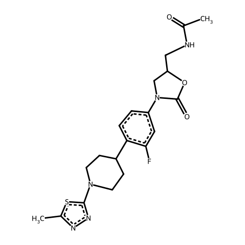 CC(=O)NCC1CN(c2ccc(C3CCN(c4nnc(C)s4)CC3)c(F)c2)C(=O)O1